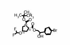 CC(C)(C)OC(=O)N1C[C@@H](OC(F)F)C[C@H]1C(=O)OCC(O)c1ccc(Br)cc1